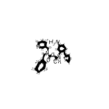 Nc1ccc(-c2cccs2)c(NC(=O)OC(=O)N(Cc2ccccc2)Cc2cccnc2)c1